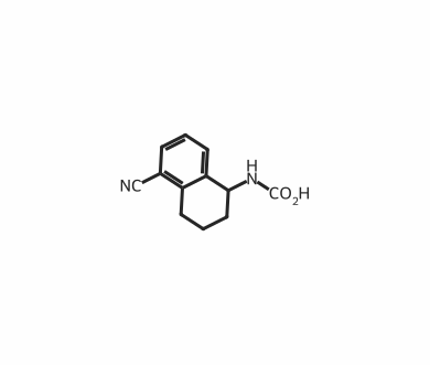 N#Cc1cccc2c1CCCC2NC(=O)O